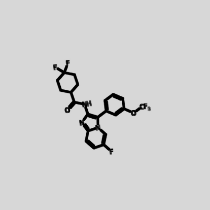 O=C(Nc1nc2ccc(F)cn2c1-c1cccc(OC(F)(F)F)c1)C1CCC(F)(F)CC1